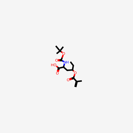 C=C(C)C(=O)OC(CC)CC(NC(=O)OC(C)(C)C)C(=O)O